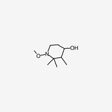 CON1CCC(O)C(C)C1(C)C